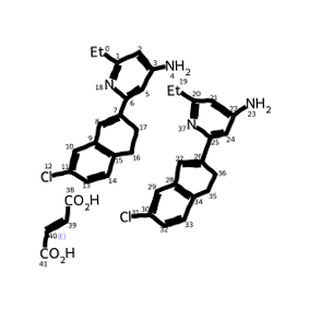 CCc1cc(N)cc(C2=Cc3cc(Cl)ccc3CC2)n1.CCc1cc(N)cc(C2=Cc3cc(Cl)ccc3CC2)n1.O=C(O)/C=C/C(=O)O